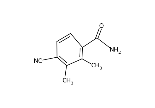 Cc1c(C#N)ccc(C(N)=O)c1C